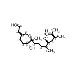 CC(C)=C(C)CC(=O)C(C)CCC[C@]1(C)OCC(=CCO)CC[C@H]1O